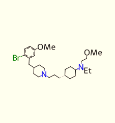 CCN(CCOC)[C@H]1CC[C@H](CCCN2CCC(Cc3cc(OC)ccc3Br)CC2)CC1